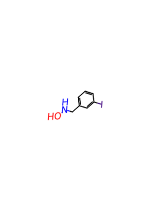 ONCc1cccc(I)c1